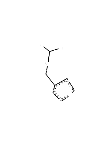 C[CH](C)[Mg][CH2]c1ccccc1